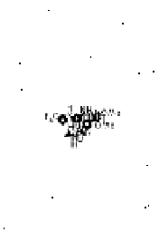 COc1ncc(-c2ccc3c(Nc4cc(Nc5cccc(C(F)(F)F)c5)cc(C(=N)NO)c4)c(S(=O)(=O)NC4CC4)cnc3c2)c(OC)n1